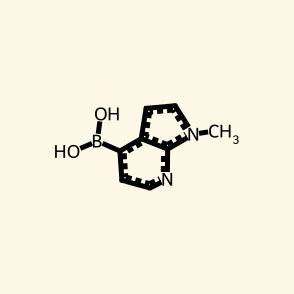 Cn1ccc2c(B(O)O)ccnc21